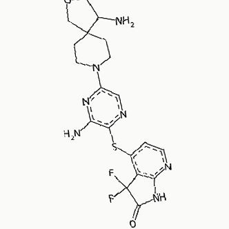 Nc1nc(N2CCC3(CC2)COCC3N)cnc1Sc1ccnc2c1C(F)(F)C(=O)N2